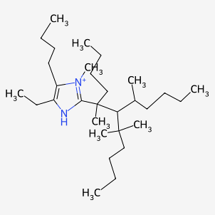 CCCCc1c(CC)[nH]c(C(C)(CCCC)C(C(C)CCCC)C(C)(C)CCCC)[n+]1C